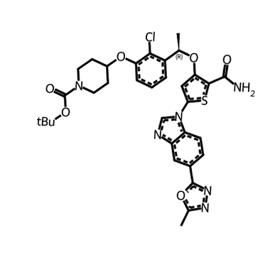 Cc1nnc(-c2ccc3c(c2)ncn3-c2cc(O[C@H](C)c3cccc(OC4CCN(C(=O)OC(C)(C)C)CC4)c3Cl)c(C(N)=O)s2)o1